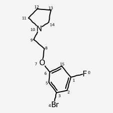 Fc1cc(Br)cc(OCCN2CCCC2)c1